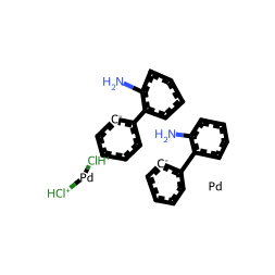 Nc1ccccc1-c1[c-]cccc1.Nc1ccccc1-c1[c-]cccc1.[ClH+][Pd][ClH+].[Pd]